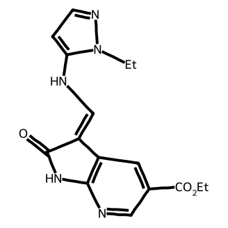 CCOC(=O)c1cnc2c(c1)C(=CNc1ccnn1CC)C(=O)N2